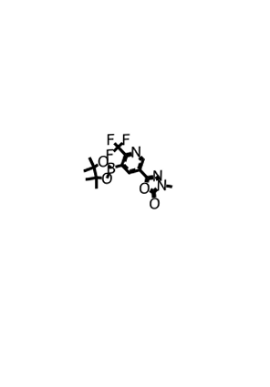 Cn1nc(-c2cnc(C(F)(F)F)c(B3OC(C)(C)C(C)(C)O3)c2)oc1=O